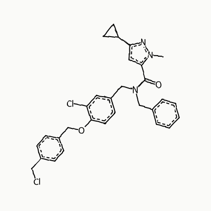 Cn1nc(C2CC2)cc1C(=O)N(Cc1ccccc1)Cc1ccc(OCc2ccc(CCl)cc2)c(Cl)c1